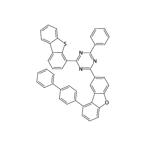 c1ccc(-c2ccc(-c3cccc4oc5ccc(-c6nc(-c7ccccc7)nc(-c7cccc8c7sc7ccccc78)n6)cc5c34)cc2)cc1